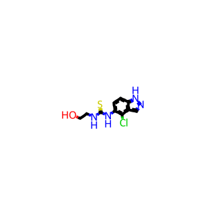 OCCNC(=S)Nc1ccc2[nH]ncc2c1Cl